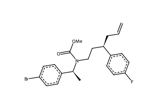 C=CC[C@H](CCN(C(=O)OC)[C@@H](C)c1ccc(Br)cc1)c1ccc(F)cc1